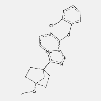 COC12CCC(c3nnc4c(Oc5ccccc5Cl)nccn34)(CC1)C2